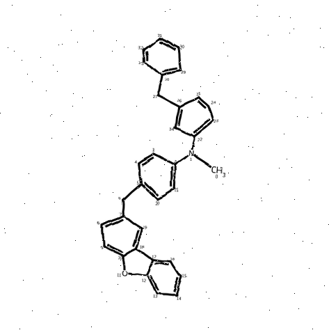 CN(c1ccc(Cc2ccc3oc4ccccc4c3c2)cc1)c1cccc(Cc2ccccc2)c1